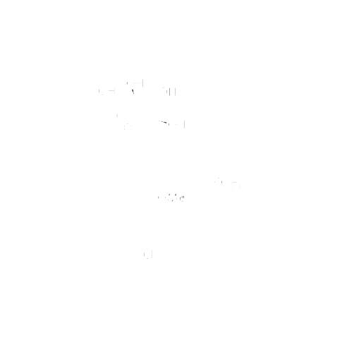 CCOc1ccc(C(c2cc(Cc3cc([C@@H]4O[C@H](CO)[C@@H](O)[C@H](O)[C@H]4O)ccc3OC)ccc2Cl)[Si](C)(C)C)cc1